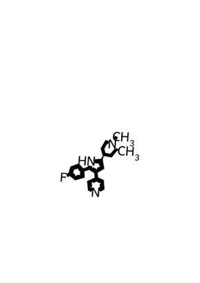 C[C@H]1C[C@@H](c2cc(-c3ccncc3)c(-c3ccc(F)cc3)[nH]2)CCN1C